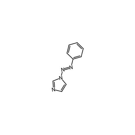 c1ccc(N=Nn2ccnc2)cc1